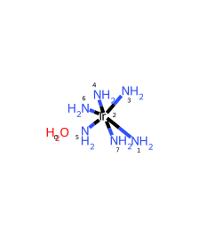 O.[NH2][Ir]([NH2])([NH2])([NH2])([NH2])[NH2]